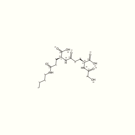 CCCCNC(=O)CC[C@H](NC(=O)CC[C@H](NC(=O)CO)C(=O)O)C(=O)O